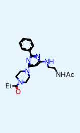 CCC(=O)N1CCN(c2cc(NCCNC(C)=O)nc(-c3ccccc3)n2)CC1